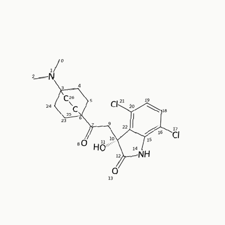 CN(C)C12CCC(C(=O)C[C@]3(O)C(=O)Nc4c(Cl)ccc(Cl)c43)(CC1)CC2